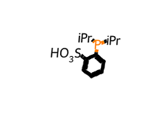 CC(C)P(c1ccccc1S(=O)(=O)O)C(C)C